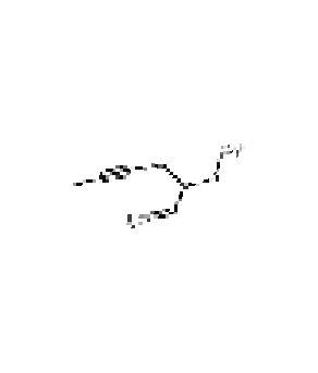 C=CC(CC#CI)OC(=O)O